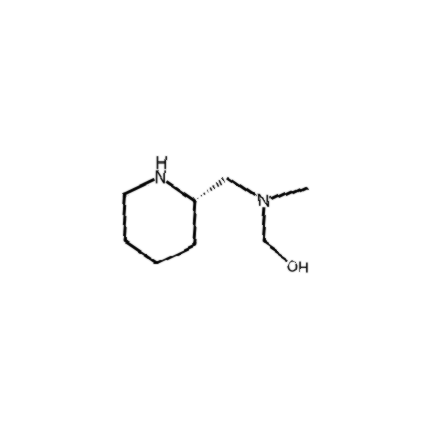 CN(CO)C[C@@H]1CCCCN1